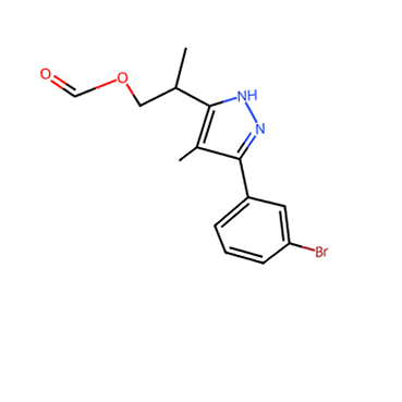 Cc1c(-c2cccc(Br)c2)n[nH]c1C(C)COC=O